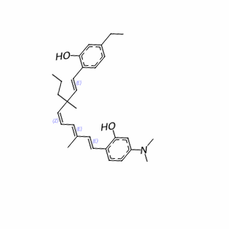 CCCC(C)(\C=C/C=C(C)/C=C/c1ccc(N(C)C)cc1O)/C=C/c1ccc(CC)cc1O